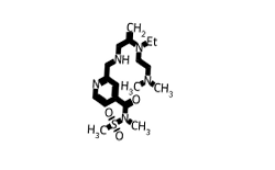 C=C(CNCc1cc(C(=O)N(C)S(C)(=O)=O)ccn1)N(CC)CCN(C)C